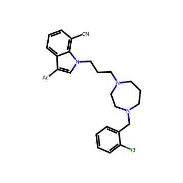 CC(=O)c1cn(CCCN2CCCN(Cc3ccccc3Cl)CC2)c2c(C#N)cccc12